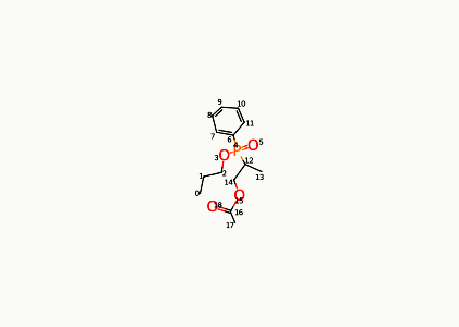 CCCOP(=O)(c1ccccc1)C(C)COC(C)=O